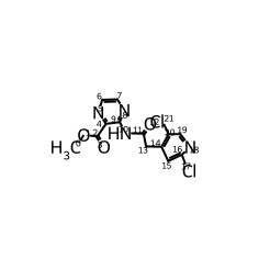 COC(=O)c1nccnc1NC(=O)Cc1cc(Cl)ncc1Cl